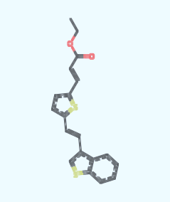 CCOC(=O)/C=C/c1ccc(/C=C/c2csc3ccccc23)s1